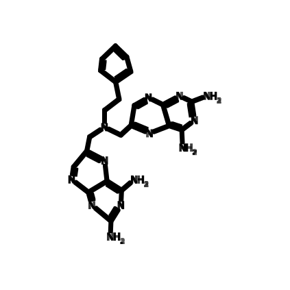 Nc1nc(N)c2nc(CN(CCc3ccccc3)Cc3cnc4nc(N)nc(N)c4n3)cnc2n1